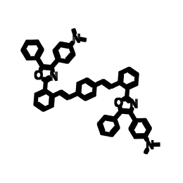 CN(C)c1ccc(-c2nc(-c3ccccc3/C=C/c3ccc(/C=C/c4ccccc4-c4nc(-c5ccc(N(C)C)cc5)c(-c5ccccc5)o4)cc3)oc2-c2ccccc2)cc1